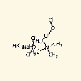 C[N+](C)(C)C.ClOCl.ClOCl.[KH].[NaH]